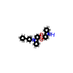 c1ccc(-c2ccc(-n3c4ccccc4c4c5c(ccc43)Oc3c(ccc4[nH]c6ccccc6c34)O5)cc2)cc1